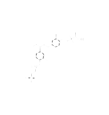 CCC(CCc1ccc(OCC(C)(C)C(C)O)c(C)c1)c1ccc(CNCCS(C)(=O)=O)c(C)c1